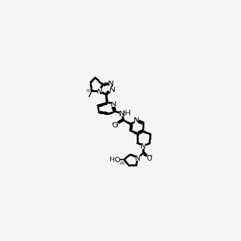 C[C@H]1CCc2nnc(-c3cccc(NC(=O)c4cc5c(cn4)CCN(C(=O)N4CC[C@@H](O)C4)C5)n3)n21